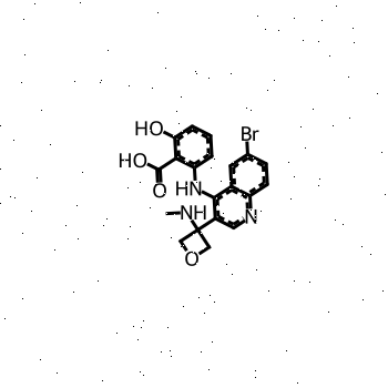 CNC1(c2cnc3ccc(Br)cc3c2Nc2cccc(O)c2C(=O)O)COC1